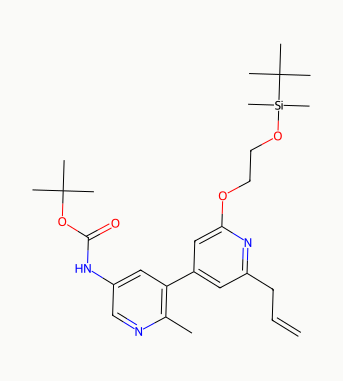 C=CCc1cc(-c2cc(NC(=O)OC(C)(C)C)cnc2C)cc(OCCO[Si](C)(C)C(C)(C)C)n1